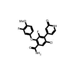 COc1ccc(Oc2c(C(N)=O)cc(Cl)c(-c3cc[nH]c(=O)c3)c2F)cc1F